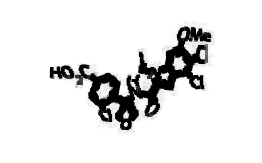 COc1cc2c(cc(C(=O)NC3(c4ccc(C(=O)O)cc4Cl)COC3)n2CI)c(Cl)c1Cl